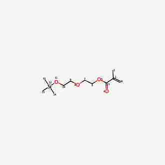 C=C(C)C(=O)OCCOCCO[Si](C)(C)C